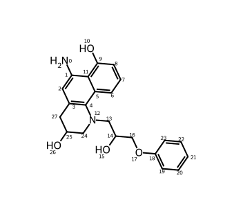 Nc1cc2c(c3cccc(O)c13)N(CC(O)COc1ccccc1)CC(O)C2